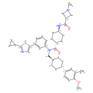 COc1ccc([C@H]2CC[C@H](CN(c3cccc(-c4cnc(C5CC5)s4)c3)C(=O)[C@H]3CC[C@H](NC(=O)C4CN(C)C4)CC3)CC2)cc1C